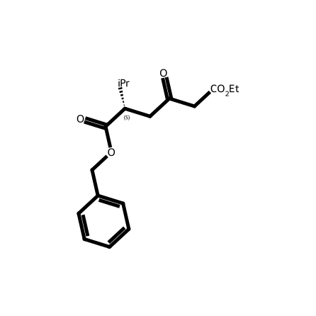 CCOC(=O)CC(=O)C[C@H](C(=O)OCc1ccccc1)C(C)C